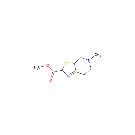 COC(=O)C1N=C2CCN(C)CC2S1